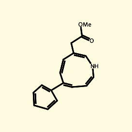 COC(=O)Cc1ccc(-c2ccccc2)ccc[nH]c1